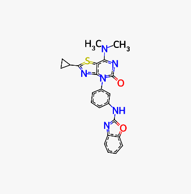 CN(C)c1nc(=O)n(-c2cccc(Nc3nc4ccccc4o3)c2)c2nc(C3CC3)sc12